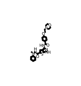 CN(NC(=O)c1cc2c(NC(=O)c3ccc(OCCN4CCOCC4)cc3)n[nH]c2s1)c1ccccc1